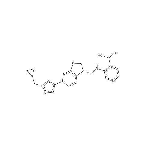 OC(O)c1ccncc1NC[C@H]1COc2cc(-c3cnn(CC4CC4)c3)ccc21